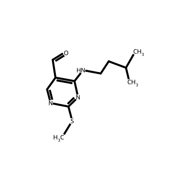 CSc1ncc(C=O)c(NCCC(C)C)n1